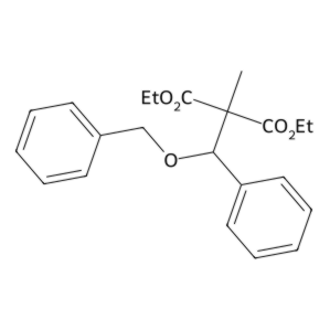 CCOC(=O)C(C)(C(=O)OCC)C(OCc1ccccc1)c1ccccc1